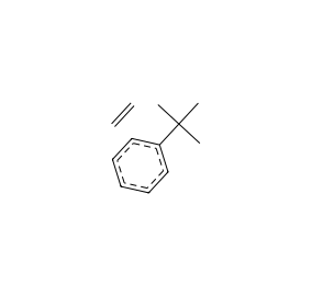 C=C.CC(C)(C)c1ccccc1